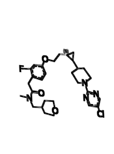 CN(CC1CCOCC1)C(=O)Cc1ccc(OCC[C@@H]2CC2C2CCN(c3ncc(Cl)cn3)CC2)cc1F